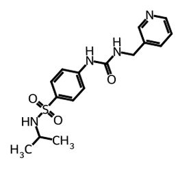 CC(C)NS(=O)(=O)c1ccc(NC(=O)NCc2cccnc2)cc1